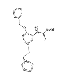 CNC(=O)Nc1cc(CCn2cccc2)ccc1OCc1ccccc1